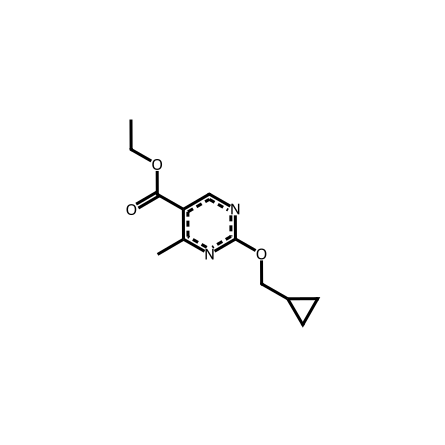 CCOC(=O)c1cnc(OCC2CC2)nc1C